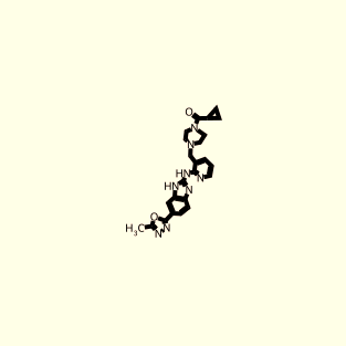 Cc1nnc(-c2ccc3nc(Nc4ncccc4CN4CCN(C(=O)C5CC5)CC4)[nH]c3c2)o1